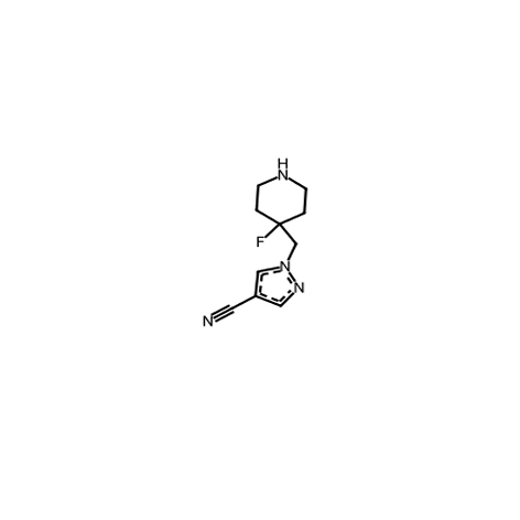 N#Cc1cnn(CC2(F)CCNCC2)c1